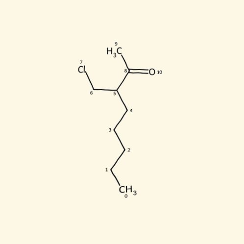 CCCCCC(CCl)C(C)=O